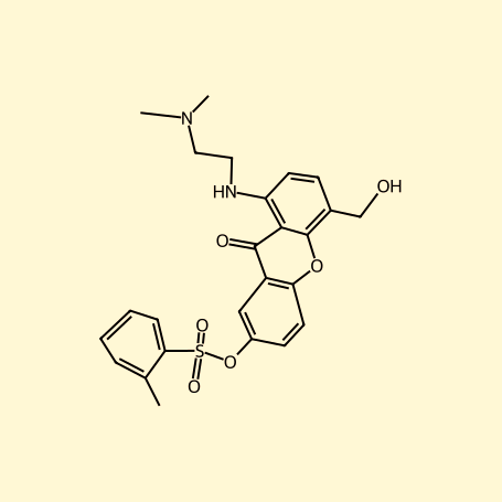 Cc1ccccc1S(=O)(=O)Oc1ccc2oc3c(CO)ccc(NCCN(C)C)c3c(=O)c2c1